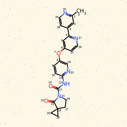 Cc1cc(-c2cc(Oc3ccc(NC(=O)N4CCC5(CC5)C4=O)nc3)ccn2)ccn1